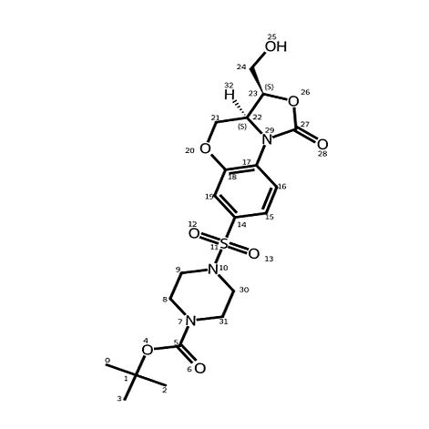 CC(C)(C)OC(=O)N1CCN(S(=O)(=O)c2ccc3c(c2)OC[C@H]2[C@@H](CO)OC(=O)N32)CC1